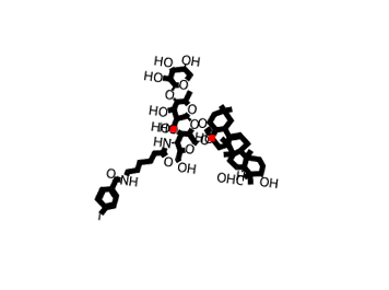 CC1O[C@@H](OC2C(O)[C@@H](NC(=O)CCCCCNC(=O)c3ccc(I)cc3)C(CO)O[C@H]2OC(=O)[C@]23CCC(C)(C)CC2C2=CCC4C5(C)CC[C@H](O)C(C)(C=O)[C@H]5CCC4(C)C2(C)CC3O)C(CO)C(O)[C@H]1O[C@@H]1OC[C@@H](O)C(O)C1O